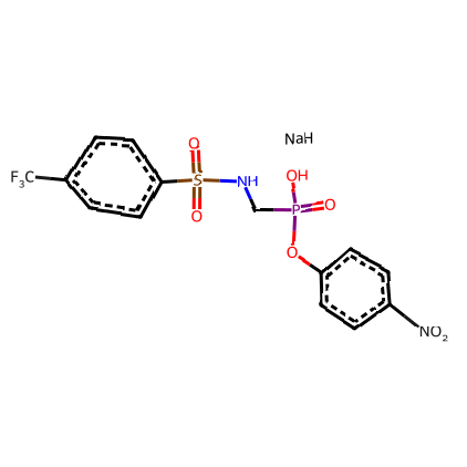 O=[N+]([O-])c1ccc(OP(=O)(O)CNS(=O)(=O)c2ccc(C(F)(F)F)cc2)cc1.[NaH]